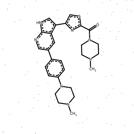 CN1CCN(C(=O)c2nc(-c3c[nH]c4ncc(-c5ccc(N6CCN(C)CC6)cc5)cc34)cs2)CC1